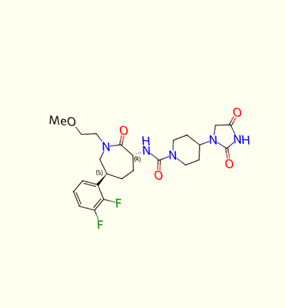 COCCN1C[C@H](c2cccc(F)c2F)CC[C@@H](NC(=O)N2CCC(N3CC(=O)NC3=O)CC2)C1=O